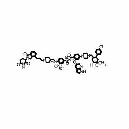 CC1(C)CCC(CN2CCN(c3ccc(C(=O)NS(=O)(=O)c4ccc(NCC5CCN(CCCc6cccc7c6CN(C6CCC(=O)NC6=O)C7=O)CC5)c([N+](=O)[O-])c4)c(Oc4cnc5[nH]ccc5c4)c3)CC2)=C(c2ccc(Cl)cc2)C1